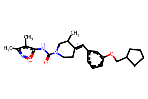 Cc1noc(NC(=O)N2CC/C(=C\c3cccc(OCC4CCCC4)c3)C(C)C2)c1C